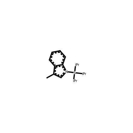 Cc1cn(S(C(C)C)(C(C)C)C(C)C)c2ccccc12